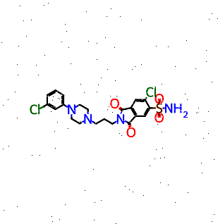 NS(=O)(=O)c1cc2c(cc1Cl)C(=O)N(CCCN1CCN(c3cccc(Cl)c3)CC1)C2=O